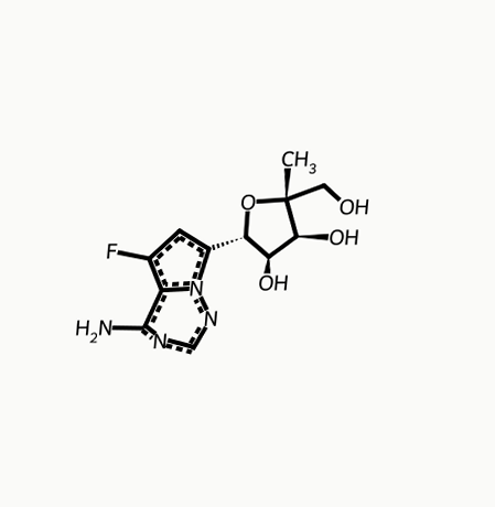 C[C@]1(CO)O[C@@H](c2cc(F)c3c(N)ncnn23)[C@H](O)[C@@H]1O